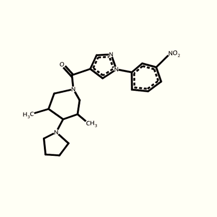 CC1CN(C(=O)c2cnn(-c3cccc([N+](=O)[O-])c3)c2)CC(C)C1N1CCCC1